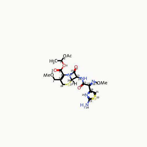 COCC1=C(C(=O)OC(C)OC(C)=O)N2C(=O)C(NC(=O)C(=NOC)c3csc(N)n3)[C@@H]2SC1